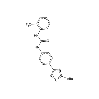 CCCCc1nc(-c2ccc(NC(=O)Nc3ccccc3C(F)(F)F)cc2)no1